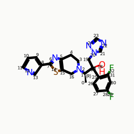 C[C@@H](N1CCc2nc(-c3cccnc3)sc2C1)[C@](O)(Cn1cncn1)c1ccc(F)cc1F